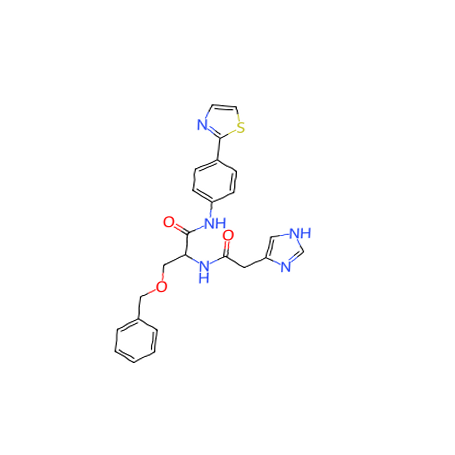 O=C(Cc1c[nH]cn1)NC(COCc1ccccc1)C(=O)Nc1ccc(-c2nccs2)cc1